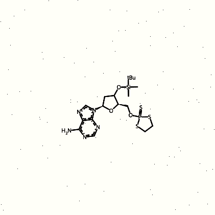 CC(C)(C)[Si](C)(C)OC1C[C@H](n2cnc3c(N)ncnc32)O[C@@H]1COP1(=S)SCCS1